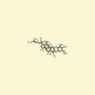 CC(C)=CCCC(C)(O)C1CCC2(C)C1C(O)CC1C3(C)CCC(OC4OC(CO)C(O)C(O)C4O)C(C)(C)C3CCC12C